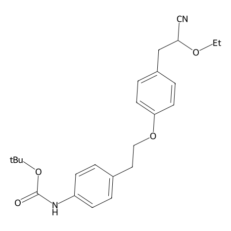 CCOC(C#N)Cc1ccc(OCCc2ccc(NC(=O)OC(C)(C)C)cc2)cc1